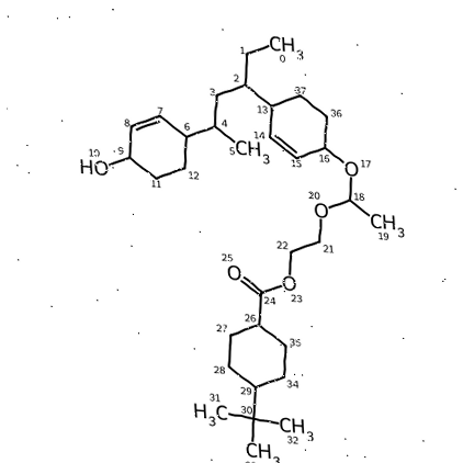 CCC(CC(C)C1C=CC(O)CC1)C1C=CC(OC(C)OCCOC(=O)C2CCC(C(C)(C)C)CC2)CC1